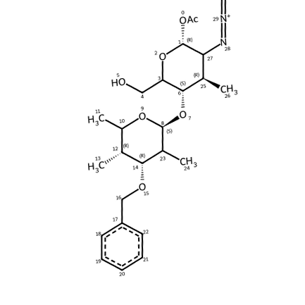 CC(=O)O[C@H]1OC(CO)[C@@H](O[C@@H]2OC(C)[C@@H](C)[C@@H](OCc3ccccc3)C2C)[C@H](C)C1N=[N+]=[N-]